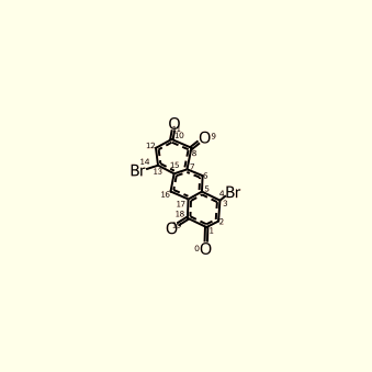 O=c1cc(Br)c2cc3c(=O)c(=O)cc(Br)c3cc2c1=O